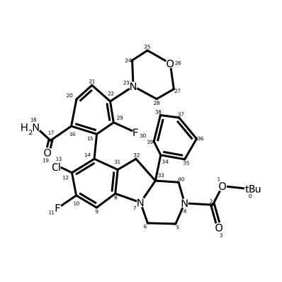 CC(C)(C)OC(=O)N1CCN2c3cc(F)c(Cl)c(-c4c(C(N)=O)ccc(N5CCOCC5)c4F)c3CC2(c2ccccc2)C1